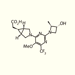 COc1c(N2C[C@@H]3[C@@H](CC(=O)O)[C@@H]3C2)nc(N2C[C@@H](O)[C@@H]2C)nc1C(F)(F)F